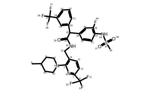 CC1CCN(c2nc(C(F)(F)F)ccc2CNC(=O)C(c2cccc(C(F)(F)F)c2)c2ccc(NS(C)(=O)=O)c(F)c2)CC1